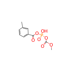 COC(=O)OP(=O)(O)OC(=O)c1cccc(C)c1